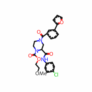 COCCOC(=O)N1CCN(C(=O)c2cccc(-c3ccco3)c2)CC1C(=O)Nc1ccc(Cl)cc1